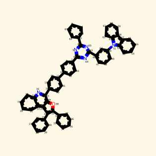 c1ccc(-c2nc(-c3ccc(-c4ccc(-c5nc6ccccc6c6c(-c7ccccc7)c(-c7ccccc7)oc56)cc4)cc3)nc(-c3cccc(-n4c5ccccc5c5ccccc54)c3)n2)cc1